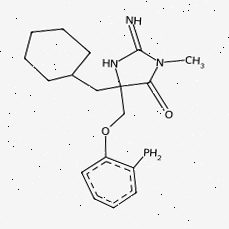 CN1C(=N)NC(COc2ccccc2P)(CC2CCCCC2)C1=O